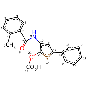 Cc1ccccc1C(=O)Nc1cc(-c2ccccc2)sc1OC(=O)O